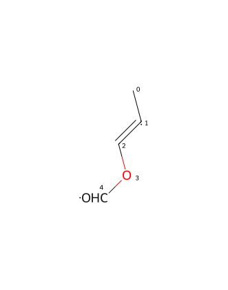 C/[C]=C/O[C]=O